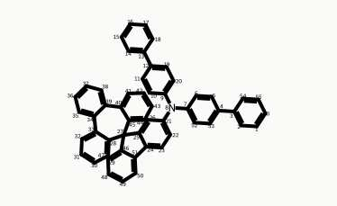 c1ccc(-c2ccc(N(c3ccc(-c4ccccc4)cc3)c3ccc4c(c3)C3(c5ccccc5-c5ccccc5-c5ccccc53)c3ccccc3-4)cc2)cc1